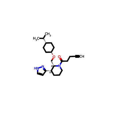 C#CCCC(=O)N1CCC[C@H](c2cc[nH]n2)[C@@H]1CO[C@H]1CC[C@@H](C(C)C)CC1